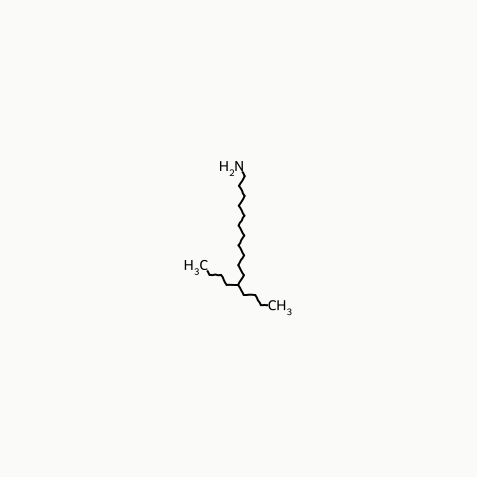 CCCCC(CCCC)CCCCCCCCCCCN